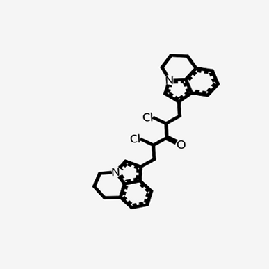 O=C(C(Cl)Cc1cn2c3c(cccc13)CCC2)C(Cl)Cc1cn2c3c(cccc13)CCC2